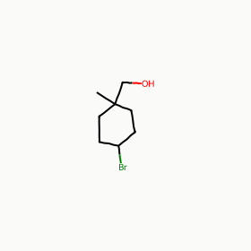 CC1(CO)CCC(Br)CC1